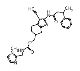 C#Cc1c(NC(=O)CC(C)c2ccccc2)sc2c1CCC(COC(=O)NCc1nccn1C)C2